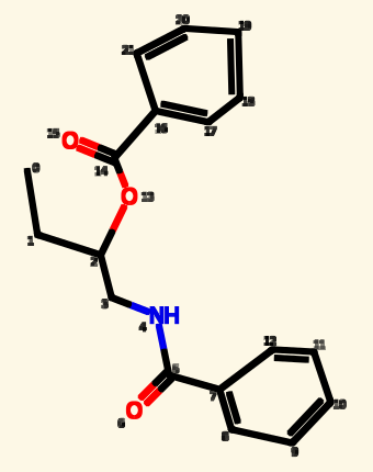 CCC(CNC(=O)c1ccccc1)OC(=O)c1ccccc1